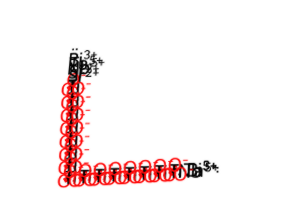 [Bi+3].[Bi+3].[Nb+5].[Nb+5].[O]=[Ti]([O-])[O-].[O]=[Ti]([O-])[O-].[O]=[Ti]([O-])[O-].[O]=[Ti]([O-])[O-].[O]=[Ti]([O-])[O-].[O]=[Ti]([O-])[O-].[O]=[Ti]([O-])[O-].[O]=[Ti]([O-])[O-].[O]=[Ti]([O-])[O-].[O]=[Ti]([O-])[O-].[O]=[Ti]([O-])[O-].[O]=[Ti]([O-])[O-].[O]=[Ti]([O-])[O-].[O]=[Ti]([O-])[O-].[O]=[Ti]([O-])[O-].[Sr+2].[Sr+2].[Ta+5].[Ta+5]